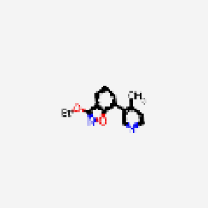 CCOc1noc2c(-c3cnccc3C)cccc12